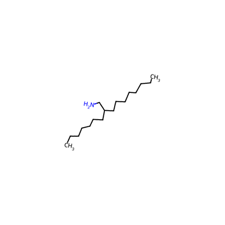 CCCCCCCCC(CN)CCCCCCC